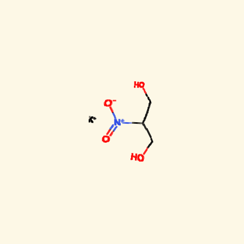 O=[N+]([O-])C(CO)CO.[K+]